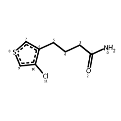 NC(=O)CCCc1cscc1Cl